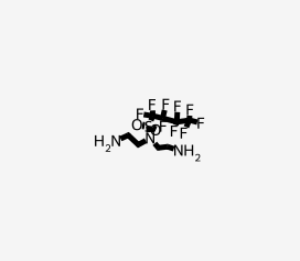 NCCN(CCN)S(=O)(=O)C(F)(F)C(F)(F)C(F)(F)C(F)(F)F